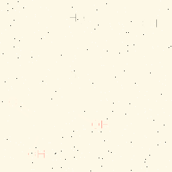 CC(C)CSC(O)C(=O)O